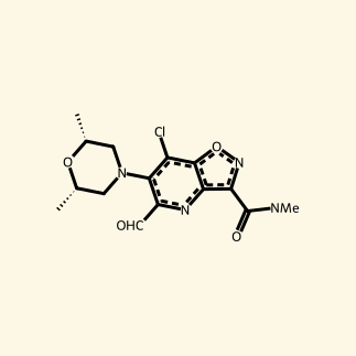 CNC(=O)c1noc2c(Cl)c(N3C[C@@H](C)O[C@@H](C)C3)c(C=O)nc12